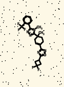 Cn1c(-c2ccccc2C(F)(F)F)nnc1C1(C)CC=C(c2noc(C3CC(F)(F)C3)n2)CC1